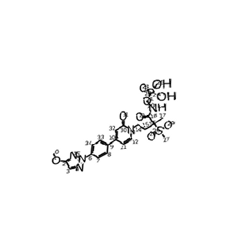 COc1cnn(-c2ccc(-c3ccn(CC[C@](C)(C(=O)NOP(=O)(O)O)S(C)(=O)=O)c(=O)c3)cc2)n1